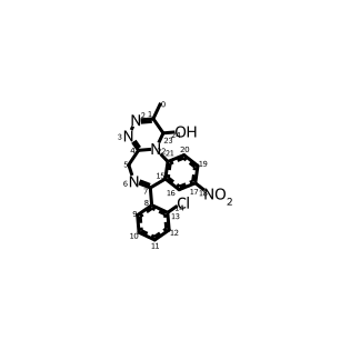 CC1=NN=C2CN=C(c3ccccc3Cl)c3cc([N+](=O)[O-])ccc3N2C1O